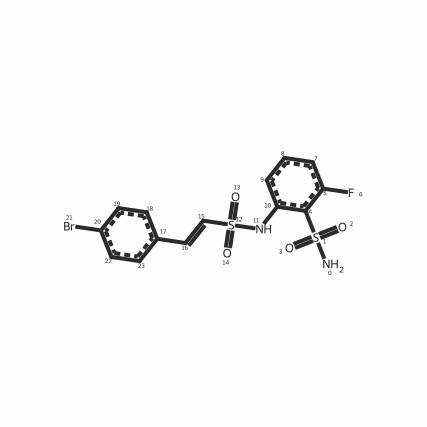 NS(=O)(=O)c1c(F)cccc1NS(=O)(=O)C=Cc1ccc(Br)cc1